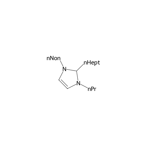 CCCCCCCCCN1C=CN(CCC)C1CCCCCCC